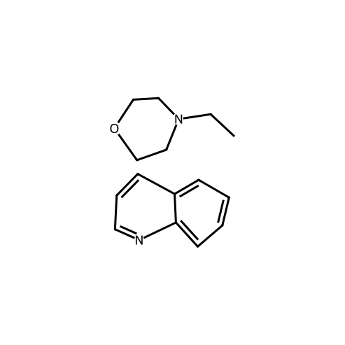 CCN1CCOCC1.c1ccc2ncccc2c1